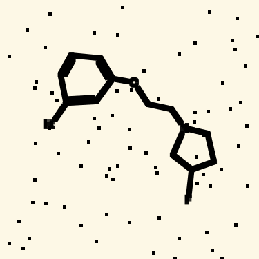 CCc1cccc(OCCN2CCC(F)C2)c1